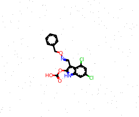 O=C(O)Oc1[nH]c2cc(Cl)cc(Cl)c2c1C=NOCc1ccccc1